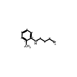 Cc1ccccc1NCCCBr